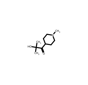 CN1CCC(C(=O)C(C)(C)O)CC1